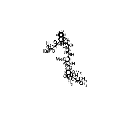 C=C(C(=O)NCC(=O)N[C@@H](Cc1ccccc1)C(=O)N[C@@H](CC(C)C)C(=O)NCC(=O)NCC[C@@H](NC(=O)OC1CC[C@]2(CO2)C(C(C)(C)OCC=C(C)C)C1OC)C(=O)OC)C(C)CC